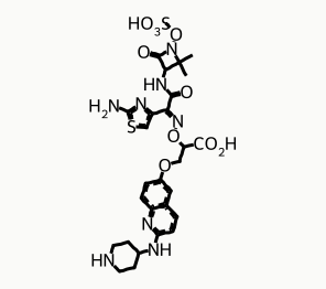 CC1(C)C(NC(=O)C(=NOC(COc2ccc3nc(NC4CCNCC4)ccc3c2)C(=O)O)c2csc(N)n2)C(=O)N1OS(=O)(=O)O